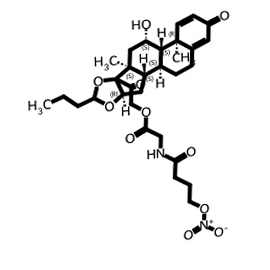 CCCC1O[C@@H]2C[C@H]3[C@@H]4CCC5=CC(=O)C=C[C@]5(C)[C@H]4[C@@H](O)C[C@]3(C)C2(C(=O)COC(=O)CNC(=O)CCCO[N+](=O)[O-])O1